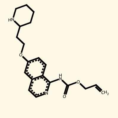 C=CCOC(=O)Nc1nccc2cc(OCCC3CCCCN3)ccc12